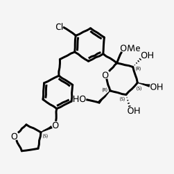 COC1(c2ccc(Cl)c(Cc3ccc(O[C@H]4CCOC4)cc3)c2)O[C@H](CO)[C@@H](O)[C@H](O)[C@H]1O